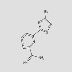 CC(C)(C)c1cc(-c2cccc(C(=N)N)c2)on1